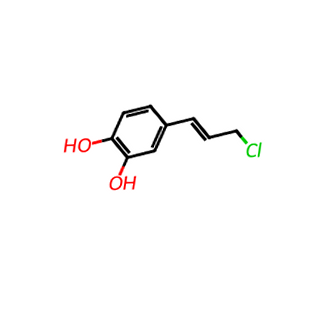 Oc1ccc(/C=C/CCl)cc1O